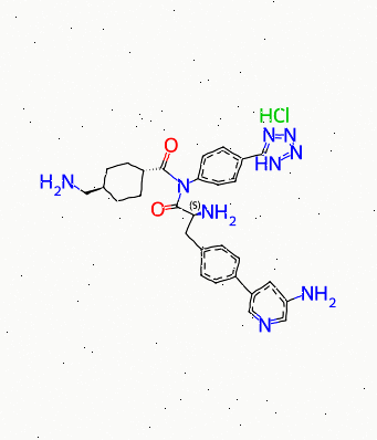 Cl.NC[C@H]1CC[C@H](C(=O)N(C(=O)[C@@H](N)Cc2ccc(-c3cncc(N)c3)cc2)c2ccc(-c3nnn[nH]3)cc2)CC1